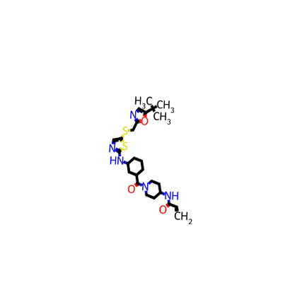 C=CC(=O)NC1CCN(C(=O)C2CCCC(Nc3ncc(SCc4ncc(C(C)(C)C)o4)s3)C2)CC1